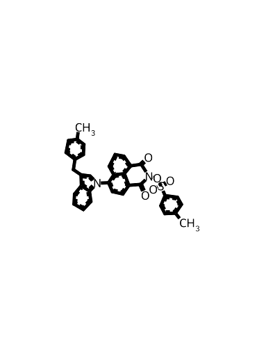 Cc1ccc(Cc2cn(-c3ccc4c5c(cccc35)C(=O)N(OS(=O)(=O)c3ccc(C)cc3)C4=O)c3ccccc23)cc1